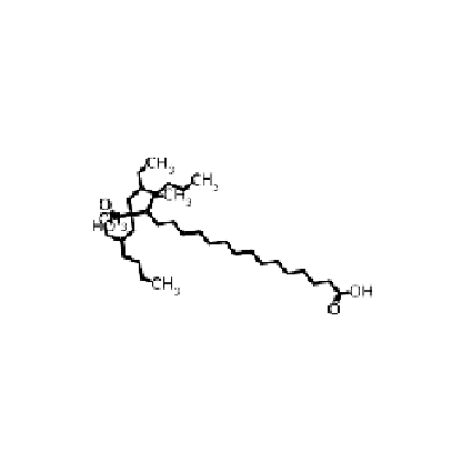 CCCCC(CC)CC(CC(CC)CCCC)(C(=O)O)C(CC)CCCCCCCCCCCCCCC(=O)O